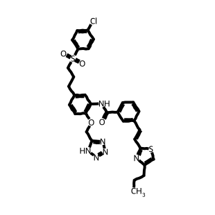 CCCc1csc(C=Cc2cccc(C(=O)Nc3cc(CCCS(=O)(=O)c4ccc(Cl)cc4)ccc3OCc3nnn[nH]3)c2)n1